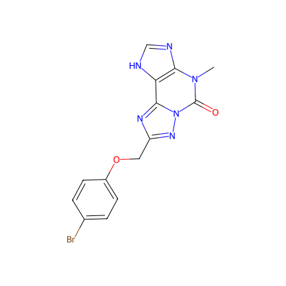 Cn1c(=O)n2nc(COc3ccc(Br)cc3)nc2c2[nH]cnc21